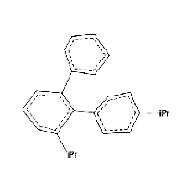 CC(C)c1ccc(-c2c(-c3ccccc3)cccc2C(C)C)cc1